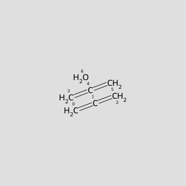 C=C=C.C=C=C.O